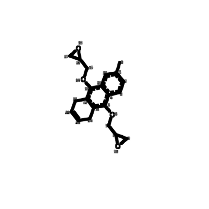 Cc1ccc2c(OCC3CO3)c3c(c(OCC4CO4)c2c1)CC=CC3